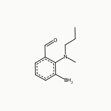 Bc1cccc(C=O)c1N(C)CCC